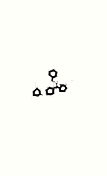 Fc1cc(F)cc(Oc2ccc(-c3c4cccc(C(F)(F)F)c4nn3Cc3ccccc3)cc2)c1